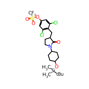 CC(C)(C)[Si](C)(C)OC1CCC(N2CCC(Cc3c(Cl)cc(OS(=O)(=O)C(F)(F)F)cc3Cl)C2=O)CC1